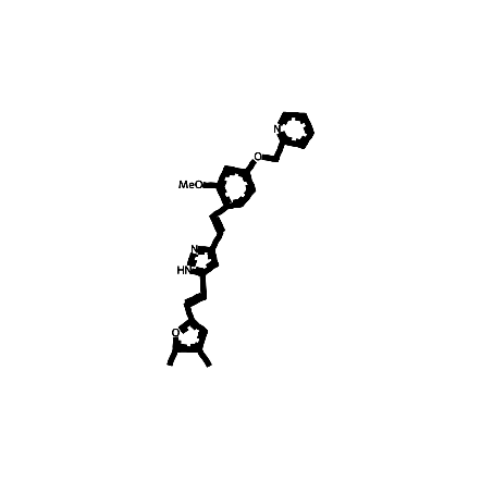 COc1cc(OCc2ccccn2)ccc1C=Cc1cc(C=Cc2cc(C)c(C)o2)[nH]n1